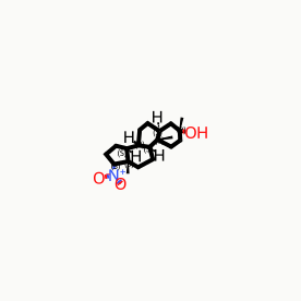 C[C@@]1(O)CC[C@@]2(C)[C@@H](CC[C@@H]3[C@@H]2CC[C@]2(C)[C@@H]([N+](=O)[O-])CC[C@@H]32)C1